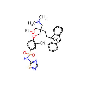 CCOCC(CCC12CCC(c3ccccc31)c1ccccc12)(COc1ccc(S(=O)(=O)Nc2ncns2)cc1C#N)CN(C)C